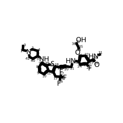 CCN1CCC(Nc2cccc3c(CC(F)(F)F)c(C#CCNc4cc(F)c(C(=O)NC)cc4OCCO)sc23)CC1